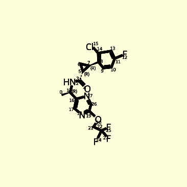 C[C@@H](NC(=O)[C@@H]1C[C@H]1c1ccc(F)cc1Cl)c1cnc(OCC(F)(F)F)cn1